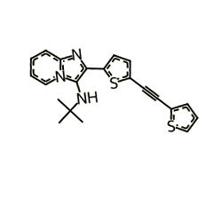 CC(C)(C)Nc1c(-c2ccc(C#Cc3cccs3)s2)nc2ccccn12